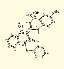 CC(C)(C)c1ccc2c(c1)S(O)(O)N=C(c1c(O)c3cccnc3n(Cc3ccccc3)c1=O)N2